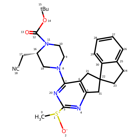 C[S+]([O-])c1nc2c(c(N3CCN(C(=O)OC(C)(C)C)[C@@H](CC#N)C3)n1)CC1(CCc3ccccc31)C2